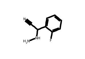 N#CC(NN)c1ccccc1F